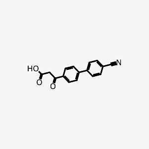 N#Cc1ccc(-c2ccc(C(=O)CC(=O)O)cc2)cc1